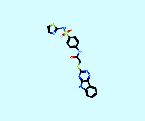 O=C(CSc1nnc2c(n1)[nH]c1ccccc12)Nc1ccc(S(=O)(=O)Nc2nccs2)cc1